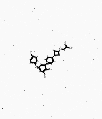 O=C(O)CO[C@H]1C[C@@H](c2ccc(-c3cc(Oc4ccc(F)cc4)cc(F)c3F)cc2)C1